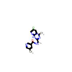 C[C@H](NC(=O)c1cncc(C(F)(F)F)c1)/C(=N/C(=N)C(F)(F)F)Nc1ccc(Cl)cn1